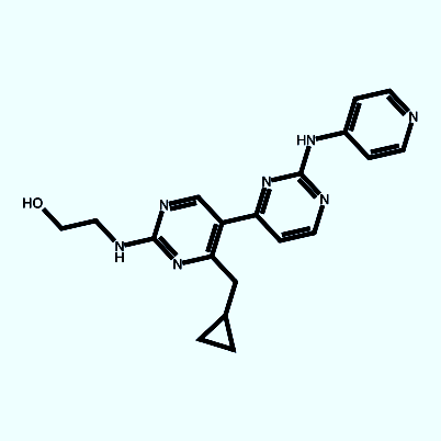 OCCNc1ncc(-c2ccnc(Nc3ccncc3)n2)c(CC2CC2)n1